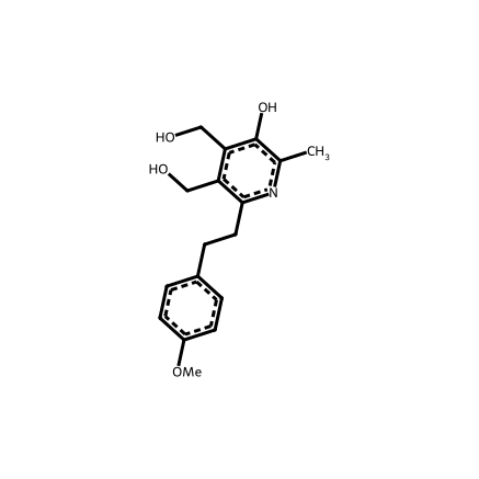 COc1ccc(CCc2nc(C)c(O)c(CO)c2CO)cc1